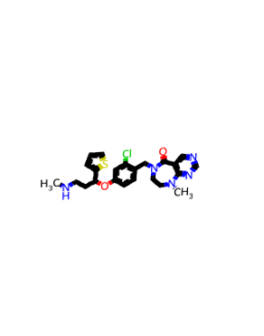 CNCCC(Oc1ccc(CN2CCN(C)c3ncncc3C2=O)c(Cl)c1)c1cccs1